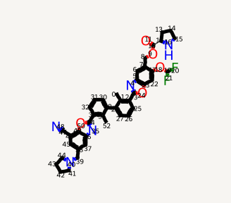 Cc1c(-c2nc3cc(COC(=O)[C@@H]4CCCN4)c(OC(F)F)cc3o2)cccc1-c1cccc(-c2nc3cc(CN4CCCC4)cc(C#N)c3o2)c1C